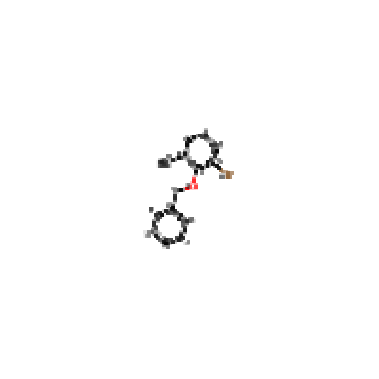 CCC(C)c1cccc(Br)c1OCc1ccccc1